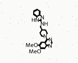 COc1cc2ncnc(N3CCC(CNc4nc5ccccc5[nH]4)CC3)c2cc1OC